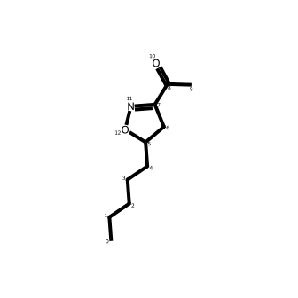 CCCCCC1CC(C(C)=O)=NO1